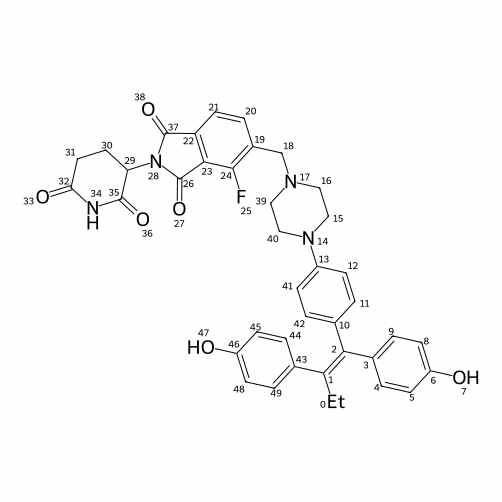 CCC(=C(c1ccc(O)cc1)c1ccc(N2CCN(Cc3ccc4c(c3F)C(=O)N(C3CCC(=O)NC3=O)C4=O)CC2)cc1)c1ccc(O)cc1